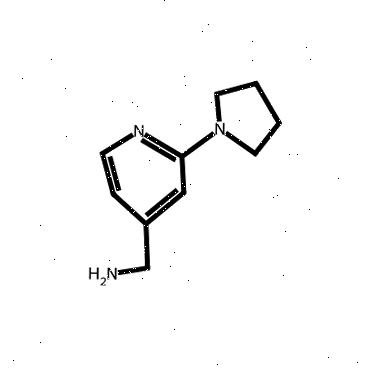 NCc1ccnc(N2CCCC2)c1